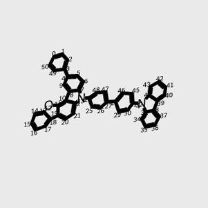 c1ccc(-c2ccc3c(c2)c2c4oc5ccccc5c4ccc2n3-c2ccc(-c3ccc(-n4c5ccccc5c5ccccc54)cc3)cc2)cc1